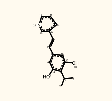 CC(C)c1c(O)cc(C=Cc2cccnc2)cc1O